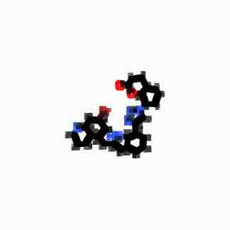 O=c1ccc2cccc(-n3cc(-c4cccc5cc(Cc6cc(Br)cc7ncccc67)[nH]c45)nn3)c2o1